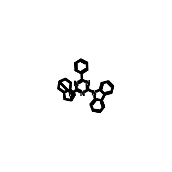 c1ccc(-c2nc(N3C4CCC5CC3CC5C4)nc(-n3c4ccccc4c4ccccc43)n2)cc1